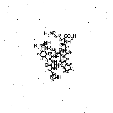 N=C(N)NCCC[C@H](NC(=O)[C@@H](Cc1ccccc1)NC(=O)[C@@H](N)Cc1c[nH]cn1)C(=O)N[C@@H](Cc1c[nH]c2ccccc12)C(=O)NCC(=O)N[C@@H](CCCCN)C(=O)O